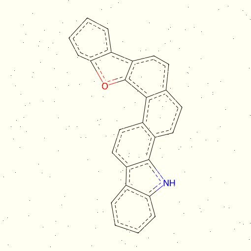 c1ccc2c(c1)[nH]c1c2ccc2c1ccc1ccc3c4ccccc4oc3c12